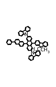 CC1(C)c2ccccc2-c2ccc(-c3c4ccc(-n5c6ccccc6c6ccccc65)cc4c(-c4ccc5cc(-c6ccccc6)ccc5c4)c4ccc(-n5c6ccccc6c6ccccc65)cc34)cc21